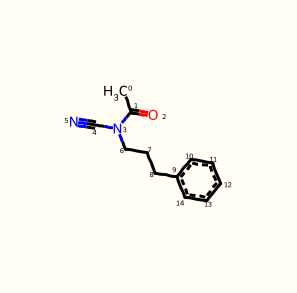 CC(=O)N(C#N)CCCc1ccccc1